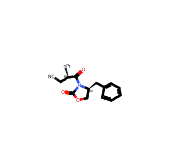 CCC[C@H](CC#N)C(=O)N1C(=O)OC[C@@H]1Cc1ccccc1